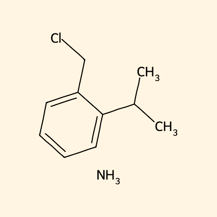 CC(C)c1ccccc1CCl.N